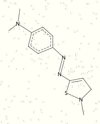 CN1CC=C(/N=N/c2ccc(N(C)C)cc2)S1